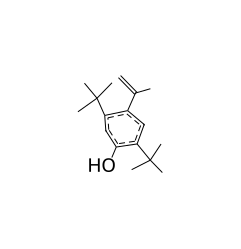 C=C(C)c1cc(C(C)(C)C)c(O)cc1C(C)(C)C